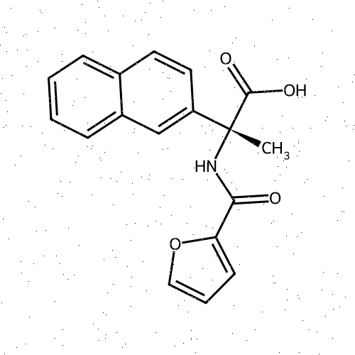 C[C@](NC(=O)c1ccco1)(C(=O)O)c1ccc2ccccc2c1